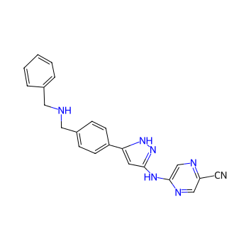 N#Cc1cnc(Nc2cc(-c3ccc(CNCc4ccccc4)cc3)[nH]n2)cn1